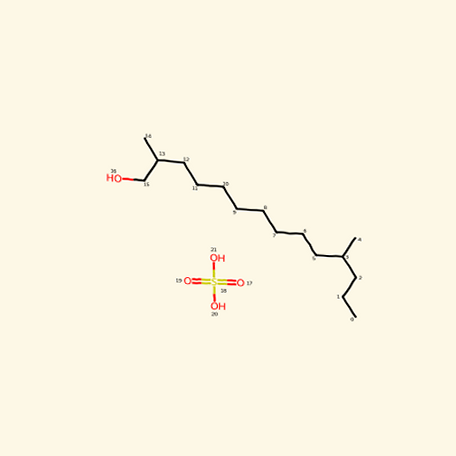 CCCC(C)CCCCCCCCC(C)CO.O=S(=O)(O)O